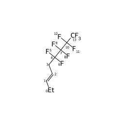 CCC=CCC(F)(F)C(F)(F)C(F)(F)C(F)(F)F